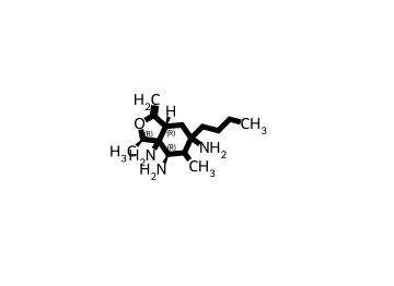 C=C1O[C@H](C)C2(N)[C@H](N)C(C)C(N)(CCCC)C[C@@H]12